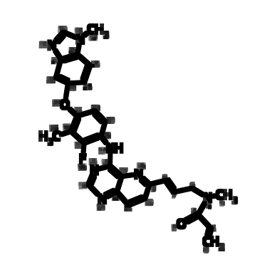 C=CC(=O)N(C)CC=Cc1ccc2ncnc(Nc3ccc(Oc4ccc5c(c4)ncn5C)c(C)c3F)c2n1